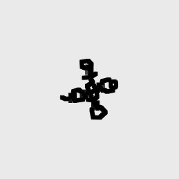 CCN1CCN(C(C)(CCC(C)(C)N2CCCC2)C(C)(CC(C)N2CCCCC2)N2CCOCC2)CC1